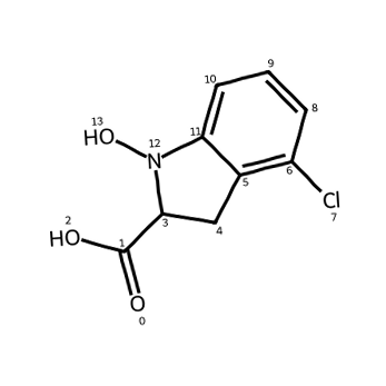 O=C(O)C1Cc2c(Cl)cccc2N1O